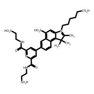 CC1=[N+](CCCCCC(=O)O)c2cc(S(=O)(=O)O)c3cc(-c4cc(C(=O)NCCS(=O)(=O)O)nc(C(=O)NCCS(=O)(=O)O)c4)ccc3c2C1(C)C